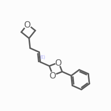 C(=C\C1OC(c2ccccc2)O1)/CC1COC1